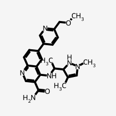 COCc1ccc(-c2ccc3ncc(C(N)=O)c(NC(C)C4NN(C)C=C4C)c3c2)cn1